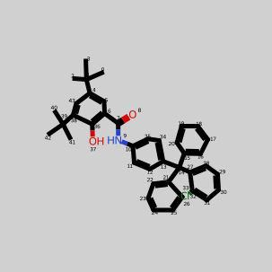 CC(C)(C)c1cc(C(=O)Nc2ccc(C(c3ccccc3)(c3ccccc3)c3ccccc3Cl)cc2)c(O)c(C(C)(C)C)c1